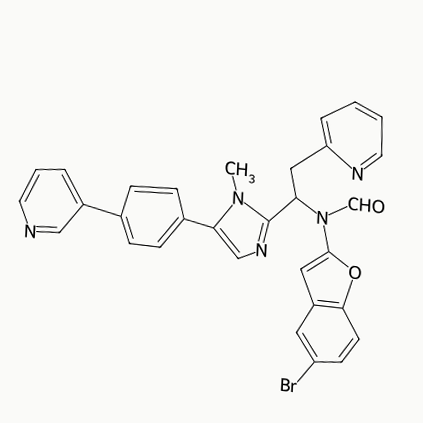 Cn1c(-c2ccc(-c3cccnc3)cc2)cnc1C(Cc1ccccn1)N(C=O)c1cc2cc(Br)ccc2o1